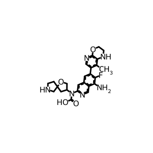 Cc1c(-c2cc3cc(N(C(=O)O)C4COC5(CCNC5)C4)ncc3c(N)c2F)cnc2c1NCCO2